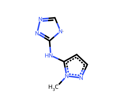 Cn1nccc1NC1=NN=C[N]1